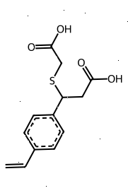 C=Cc1ccc(C(CC(=O)O)SCC(=O)O)cc1